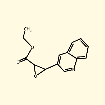 CCOC(=O)C1OC1c1cnc2ccccc2c1